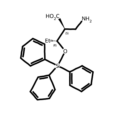 CC[C@@H](O[Si](c1ccccc1)(c1ccccc1)c1ccccc1)[C@H](CN)C(=O)O